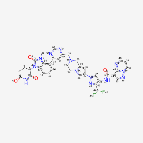 Cn1c(=O)n(C2CCC(=O)NC2=O)c2cccc(-c3cc(CN4CCn5cc(-n6cc(NC(=O)c7cnn8cccnc78)c(C(F)F)n6)cc5C4)ncn3)c21